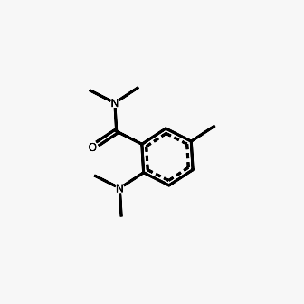 Cc1ccc(N(C)C)c(C(=O)N(C)C)c1